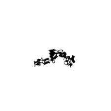 CCc1cc2cc(C(=O)N(CC)Cc3nnn(C)n3)ccn2c1C(=O)c1ccc(/C=C/[C@@H](C(C)C)N(CC)C(=O)O)cc1